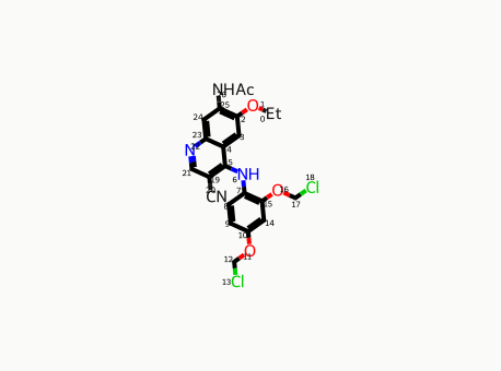 CCOc1cc2c(Nc3ccc(OCCl)cc3OCCl)c(C#N)cnc2cc1NC(C)=O